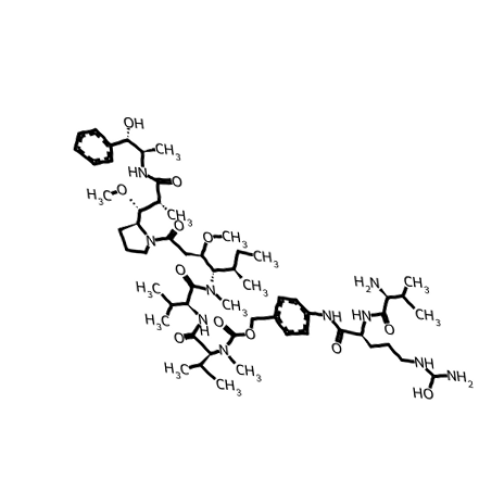 CC[C@@H](C)[C@@H]([C@@H](CC(=O)N1CCC[C@H]1[C@H](OC)[C@@H](C)C(=O)N[C@H](C)[C@@H](O)c1ccccc1)OC)N(C)C(=O)[C@@H](NC(=O)[C@H](C(C)C)N(C)C(=O)OCc1ccc(NC(=O)[C@H](CCCNC(N)O)NC(=O)[C@@H](N)C(C)C)cc1)C(C)C